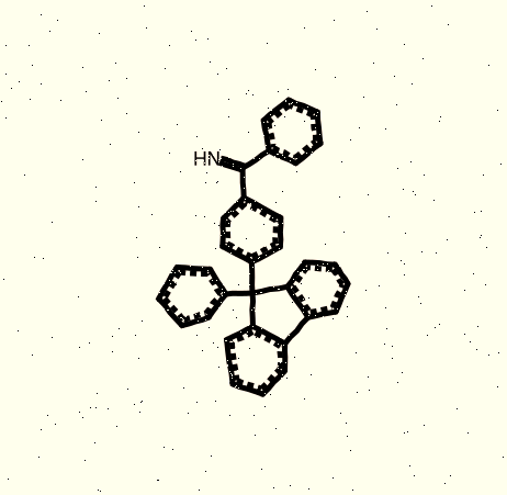 N=C(c1ccccc1)c1ccc(C2(c3ccccc3)c3ccccc3-c3ccccc32)cc1